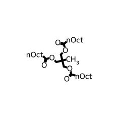 CCCCCCCCC(=O)OCC(C)(COC(=O)CCCCCCCC)COC(=O)CCCCCCCC